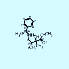 COC(=O)C(C)(C)[C@@H](C)CN[C@H](C)c1ccccc1